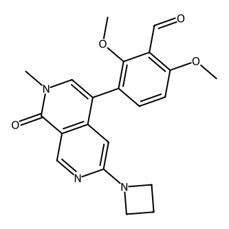 COc1ccc(-c2cn(C)c(=O)c3cnc(N4CCC4)cc23)c(OC)c1C=O